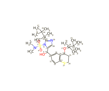 CN(C)S(=O)(=O)n1c(C(O)c2ccc3c(c2)C(O[Si](C)(C)C(C)(C)C)CCS3)cnc1[Si](C)(C)C(C)(C)C